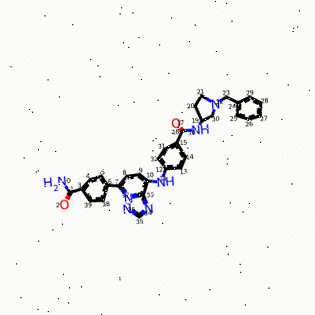 NC(=O)c1ccc(-c2ccc(Nc3ccc(C(=O)NC4CCN(Cc5ccccc5)C4)cc3)c3ncnn23)cc1